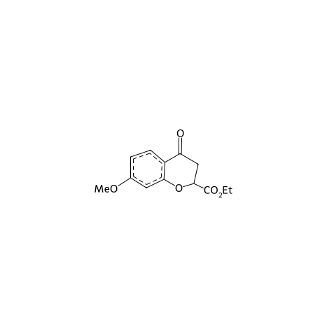 CCOC(=O)C1CC(=O)c2ccc(OC)cc2O1